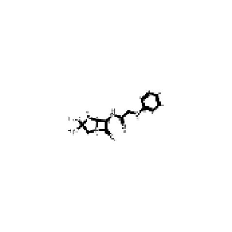 CC1(C)CN2C(=O)C(NC(=O)COc3ccccc3)C2S1